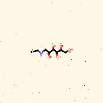 [2H]CNCC(O)C(O)C(O)C(O)CO